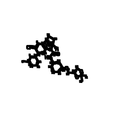 Cc1cc(-c2nc3c(cc2Cl)N2CC[C@@H](C2)N3C(=O)Nc2cncc(OCC3COC(C)(C)O3)n2)ccn1